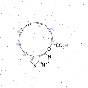 O=C(O)/C1=C/C=C\C=C/C=C\N=C/C=C\C=C/c2csc3ncnc(c23)O1